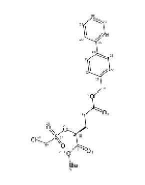 CC(C)(C)OC(=O)[C@H](CCC(=O)OCc1ccc(-c2ccccc2)cc1)OS(=O)(=O)CCl